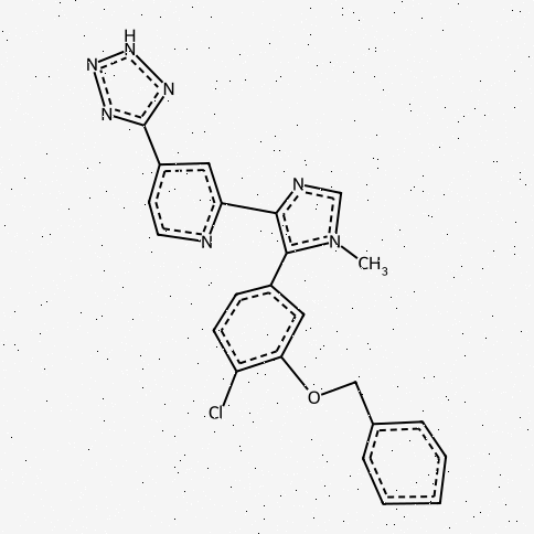 Cn1cnc(-c2cc(-c3nn[nH]n3)ccn2)c1-c1ccc(Cl)c(OCc2ccccc2)c1